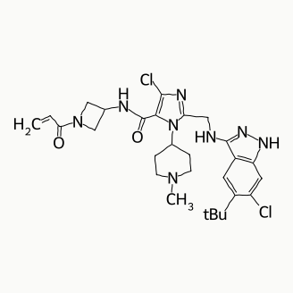 C=CC(=O)N1CC(NC(=O)c2c(Cl)nc(CNc3n[nH]c4cc(Cl)c(C(C)(C)C)cc34)n2C2CCN(C)CC2)C1